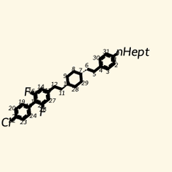 CCCCCCCc1ccc(CC[C@H]2CC[C@H](CCc3cc(F)c(-c4ccc(Cl)cc4)c(F)c3)CC2)cc1